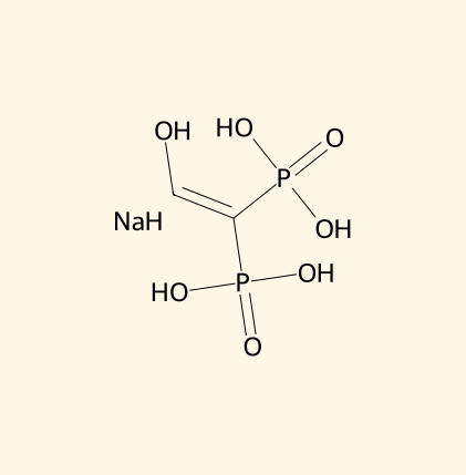 O=P(O)(O)C(=CO)P(=O)(O)O.[NaH]